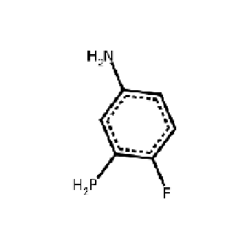 Nc1ccc(F)c(P)c1